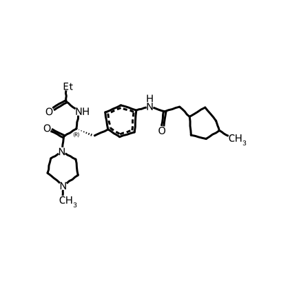 CCC(=O)N[C@H](Cc1ccc(NC(=O)CC2CCC(C)CC2)cc1)C(=O)N1CCN(C)CC1